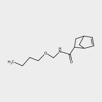 CCCCOCNC(=O)C1CC2C=CC1C2